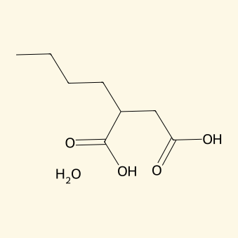 CCCCC(CC(=O)O)C(=O)O.O